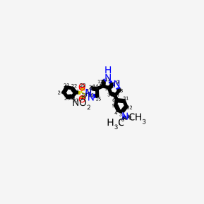 CN(C)c1ccc(-c2cnc3[nH]cc(-c4cnn(S(=O)(=O)c5ccccc5[N+](=O)[O-])c4)c3c2)cc1